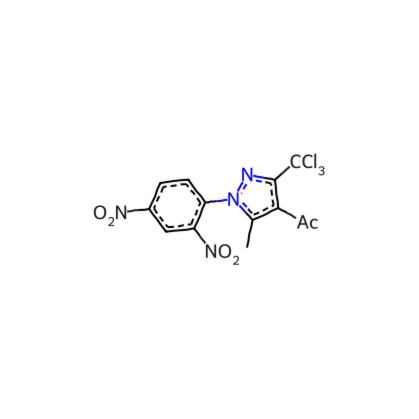 CC(=O)c1c(C(Cl)(Cl)Cl)nn(-c2ccc([N+](=O)[O-])cc2[N+](=O)[O-])c1C